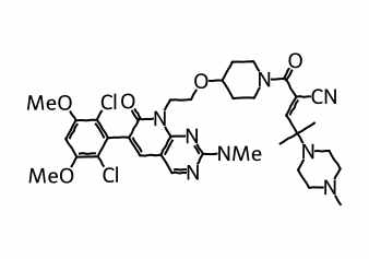 CNc1ncc2cc(-c3c(Cl)c(OC)cc(OC)c3Cl)c(=O)n(CCOC3CCN(C(=O)C(C#N)=CC(C)(C)N4CCN(C)CC4)CC3)c2n1